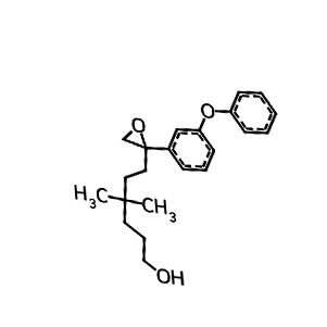 CC(C)(CCCO)CCC1(c2cccc(Oc3ccccc3)c2)CO1